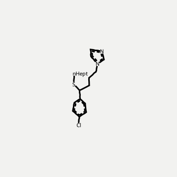 CCCCCCCSC(CCCn1ccnc1)c1ccc(Cl)cc1